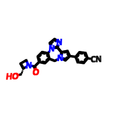 N#Cc1ccc(-c2cc3n(c2)Cc2cc(C(=O)N4CC[C@H]4CO)ccc2-n2ccnc2-3)cc1